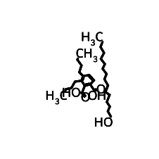 CCCCCCCCCCCCCCCCO.CCCCc1ccc(C(=O)O)c(C(=O)O)c1CCCC